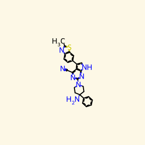 Cc1nc2ccc(-c3c[nH]c4nc(N5CCC(N)(c6ccccc6)CC5)nc(C#N)c34)cc2s1